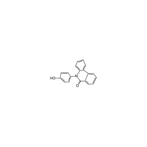 O=c1c2ccccc2c2ccccc2n1-c1ccc(O)cc1